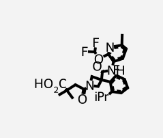 Cc1ccc(NC(=O)C2(c3c(F)cccc3C(C)C)CN(C(=O)CC(C)(C)C(=O)O)C2)c(OC(F)F)n1